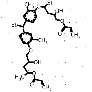 C=CC(=O)OCC(O)CC(CC)Oc1ccc(C(CC)c2ccc(OCC(O)CC(C)OC(=O)C=C)c(C)c2)cc1C